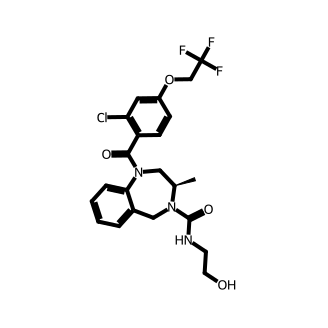 C[C@@H]1CN(C(=O)c2ccc(OCC(F)(F)F)cc2Cl)c2ccccc2CN1C(=O)NCCO